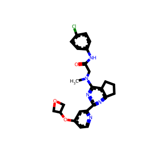 CN(CC(=O)Nc1ccc(Cl)cc1)c1nc(-c2cc(OC3COC3)ccn2)nc2c1CCC2